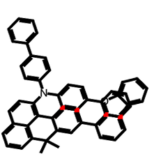 CC1(C)c2cc(-c3cccc4c3oc3ccccc34)ccc2-c2c(N(c3ccc(-c4ccccc4)cc3)c3ccc(-c4ccccc4)cc3)ccc3cccc1c23